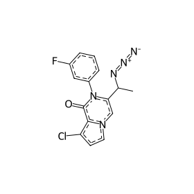 CC(N=[N+]=[N-])c1cn2ccc(Cl)c2c(=O)n1-c1cccc(F)c1